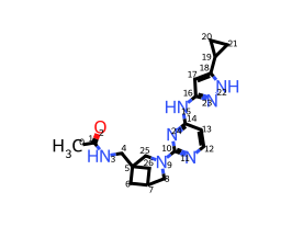 CC(=O)NCC12CC(CN(c3nccc(Nc4cc(C5CC5)[nH]n4)n3)C1)C2